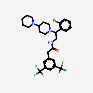 O=C(Cc1cc(C(F)(F)F)cc(C(F)(F)F)c1)NCC(c1ccccc1F)N1CCC(N2CCCCC2)CC1